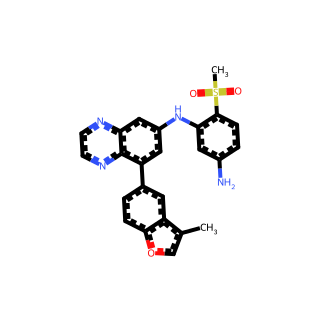 Cc1coc2ccc(-c3cc(Nc4cc(N)ccc4S(C)(=O)=O)cc4nccnc34)cc12